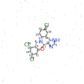 O=C(c1c[nH]cn1)N(Cc1ccc(Cl)cc1Cl)c1ccc(Cl)cc1